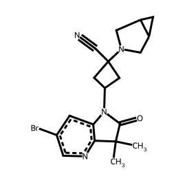 CC1(C)C(=O)N(C2CC(C#N)(N3CC4CC4C3)C2)c2cc(Br)cnc21